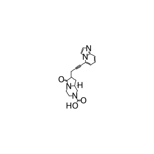 O=C(O)N1CCN2C(=O)C(CC#Cc3cccc4nccn34)C[C@H]2C1